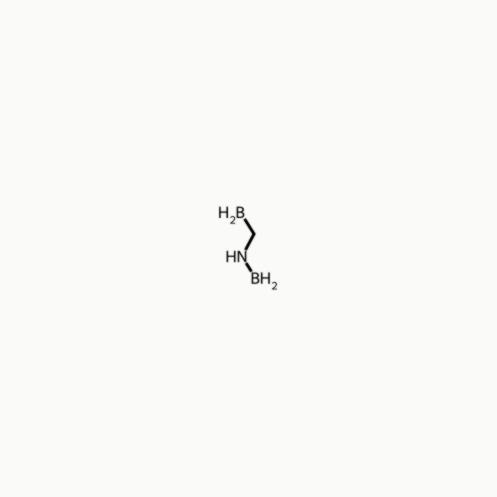 BCNB